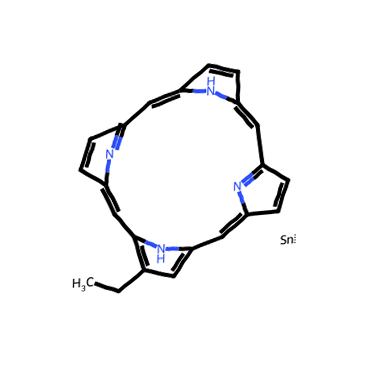 CCc1cc2cc3nc(cc4ccc(cc5nc(cc1[nH]2)C=C5)[nH]4)C=C3.[Sn]